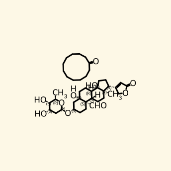 C[C@H]1O[C@@H](O[C@H]2CC[C@]3(C=O)[C@H]4CC[C@]5(C)[C@@H](C6=CC(=O)OC6)CC[C@]5(O)[C@@H]4CC[C@]3(O)C2)C[C@H](O)[C@@H]1O.O=C1CCCCCCCCCCC1